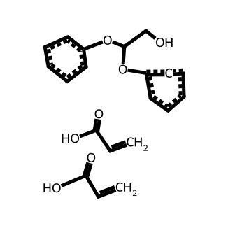 C=CC(=O)O.C=CC(=O)O.OCC(Oc1ccccc1)Oc1ccccc1